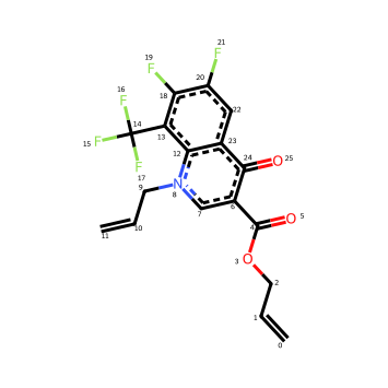 C=CCOC(=O)c1cn(CC=C)c2c(C(F)(F)F)c(F)c(F)cc2c1=O